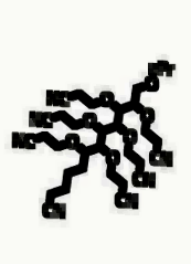 CCCOCC(OCCC#N)C(OCCC#N)C(OCCC#N)C(OCCC#N)C(OCCC#N)C(CCCCC#N)OCCC#N